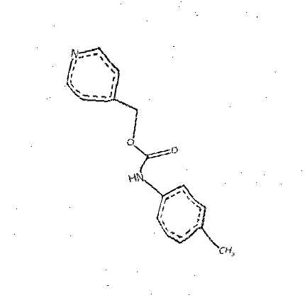 Cc1ccc(NC(=O)OCc2ccncc2)cc1